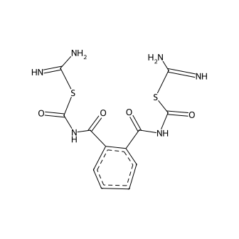 N=C(N)SC(=O)NC(=O)c1ccccc1C(=O)NC(=O)SC(=N)N